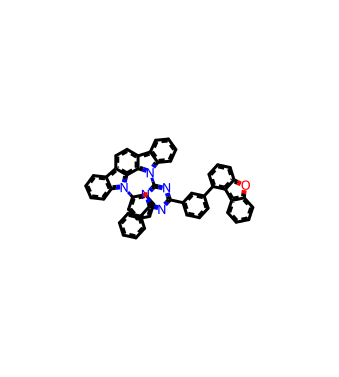 c1ccc(-c2nc(-c3cccc(-c4cccc5oc6ccccc6c45)c3)nc(-n3c4ccccc4c4ccc5c6ccccc6n(-c6ccccc6)c5c43)n2)cc1